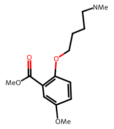 CNCCCCOc1ccc(OC)cc1C(=O)OC